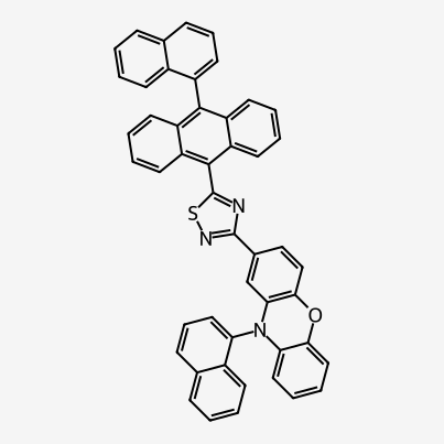 c1ccc2c(c1)Oc1ccc(-c3nsc(-c4c5ccccc5c(-c5cccc6ccccc56)c5ccccc45)n3)cc1N2c1cccc2ccccc12